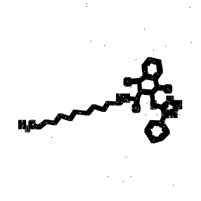 CCCCCCCCCCCCNC(=O)C1=C(Sc2nnnn2-c2ccccc2)C(=O)c2ccccc2C1=O